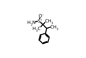 CC(c1ccccc1)C(C)(C)[S+](N)[O-]